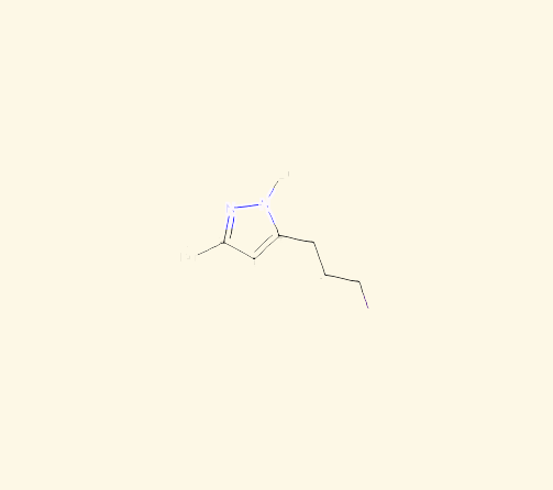 CCn1nc(C(C)(C)C)cc1CCCI